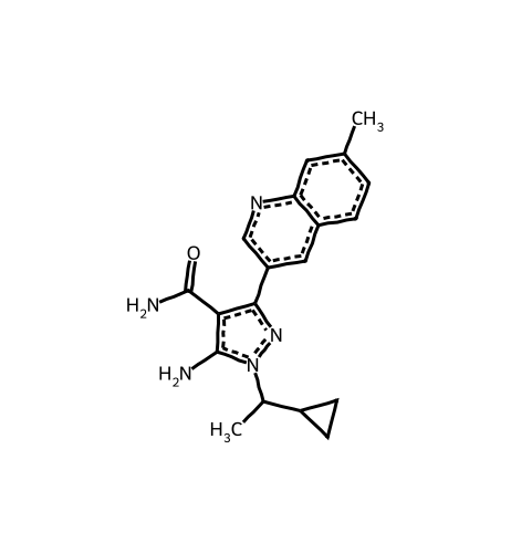 Cc1ccc2cc(-c3nn(C(C)C4CC4)c(N)c3C(N)=O)cnc2c1